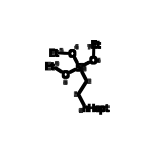 [CH2]CCCCCCCC[Si](OCC)(OCC)OCC